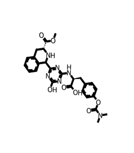 COC(=O)[C@H]1Cc2ccccc2C(c2nc(O)nc(N[C@@H](Cc3ccc(OC(=O)N(C)C)cc3)C(=O)O)n2)N1